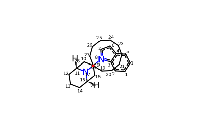 c1ccc2c(c1)ccn2C1C[C@H]2CCC[C@@H](C1)N2C1CCCCCCCCC1